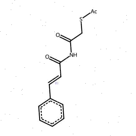 CC(=O)SCC(=O)NC(=O)/C=C/c1ccccc1